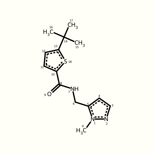 Cn1nccc1CNC(=O)c1ccc(C(C)(C)C)s1